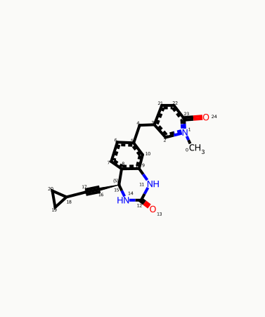 Cn1cc(Cc2ccc3c(c2)NC(=O)N[C@H]3C#CC2CC2)ccc1=O